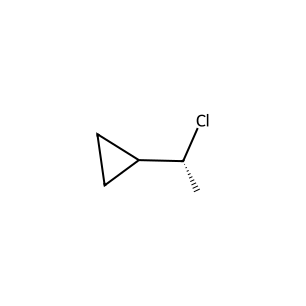 C[C@@H](Cl)C1CC1